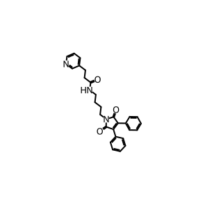 O=C(CCc1cccnc1)NCCCCN1C(=O)C(c2ccccc2)=C(c2ccccc2)C1=O